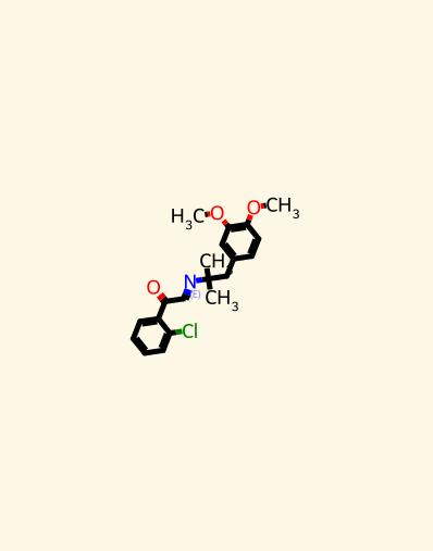 COc1ccc(CC(C)(C)/N=C/C(=O)c2ccccc2Cl)cc1OC